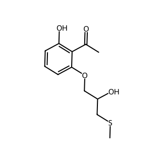 CSCC(O)COc1cccc(O)c1C(C)=O